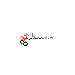 CCCCCCCCCCCCCCCCCCCCOS(=O)(=O)c1cccc2ccccc12.N